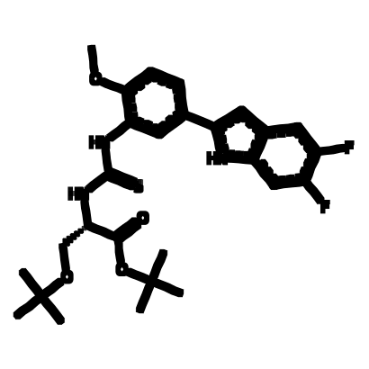 COc1ccc(-c2cc3cc(F)c(F)cc3[nH]2)cc1NC(=S)N[C@@H](COC(C)(C)C)C(=O)OC(C)(C)C